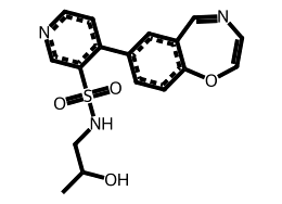 CC(O)CNS(=O)(=O)c1cnccc1-c1ccc2c(c1)C=NC=CO2